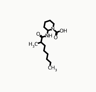 CCCCCCC(C)C(=O)NC1CCCCN1C(=O)O